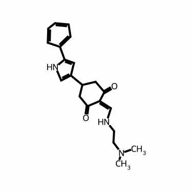 CN(C)CCNC=C1C(=O)CC(c2c[nH]c(-c3ccccc3)c2)CC1=O